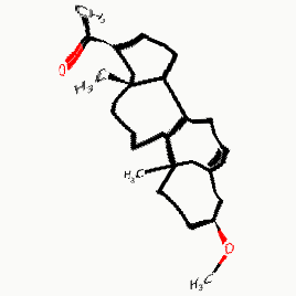 CO[C@H]1CCC2(C)C(=CCC3C2CC[C@@]2(C)C3CC[C@@H]2C(C)=O)C1